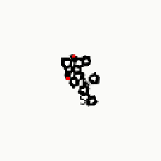 c1ccc(N(c2ccc3sc4ccccc4c3c2)c2cc3c(c4ccccc24)C2(c4ccccc4-c4ccccc42)c2c-3c3ccccc3c3ccccc23)cc1